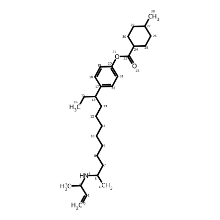 C=CC(C)NC(C)CCCCCCCC(CC)c1ccc(OC(=O)C2CCC(C)CC2)cc1